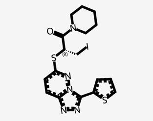 O=C([C@H](CI)Sc1ccc2nnc(-c3cccs3)n2n1)N1CCCCC1